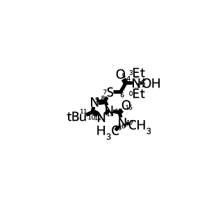 CC[N+](O)(CC)C(=O)CSc1nc(C(C)(C)C)nn1C(=O)N(C)C